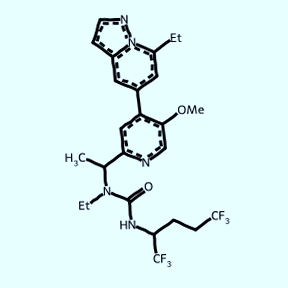 CCc1cc(-c2cc(C(C)N(CC)C(=O)NC(CCC(F)(F)F)C(F)(F)F)ncc2OC)cc2ccnn12